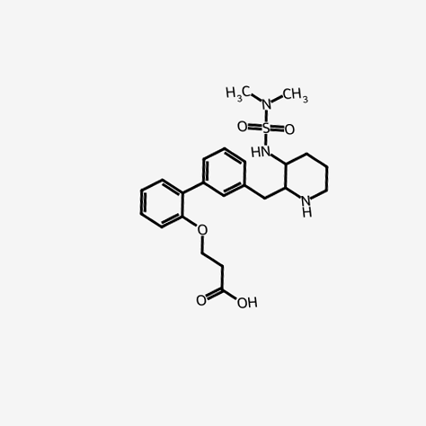 CN(C)S(=O)(=O)NC1CCCNC1Cc1cccc(-c2ccccc2OCCC(=O)O)c1